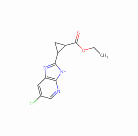 CCOC(=O)C1CC1c1nc2cc(Cl)cnc2[nH]1